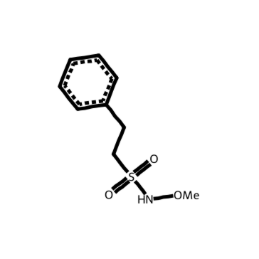 CONS(=O)(=O)CCc1ccccc1